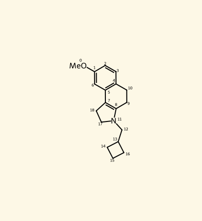 COc1ccc2c(c1)C1=C(CC2)N(CC2CCC2)CC1